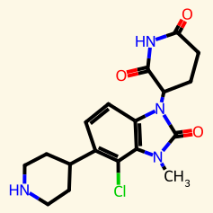 Cn1c(=O)n(C2CCC(=O)NC2=O)c2ccc(C3CCNCC3)c(Cl)c21